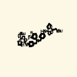 CC(C)(C)CC(=O)N1CCC[C@H]1C(=O)Nc1ccc(CN(Cc2ccc(NC(=O)[C@@H]3CCCN3C(=O)OC(C)(C)C)cc2)c2ccc(F)c(F)c2)cc1